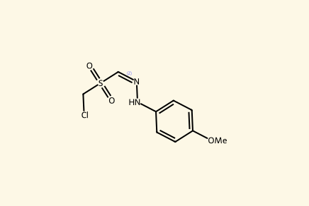 COc1ccc(N/N=C\S(=O)(=O)CCl)cc1